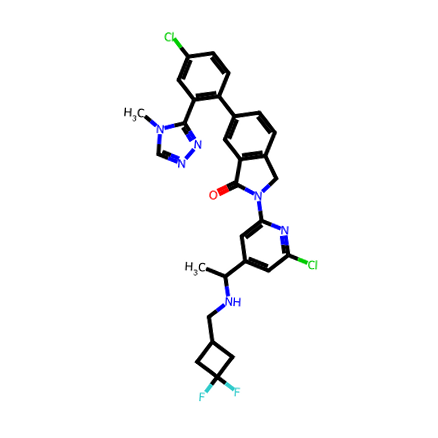 CC(NCC1CC(F)(F)C1)c1cc(Cl)nc(N2Cc3ccc(-c4ccc(Cl)cc4-c4nncn4C)cc3C2=O)c1